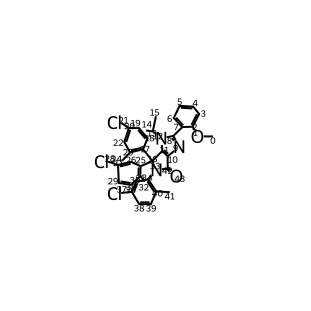 COc1ccccc1-c1nc2c(n1C(C)C)C(c1ccc(Cl)cc1C)(c1cc(Cl)ccc1C)N(c1cc(Cl)ccc1C)C2=O